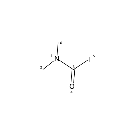 CN(C)C(=O)I